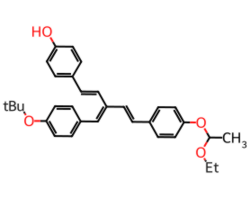 CCOC(C)Oc1ccc(C=CC(C=Cc2ccc(O)cc2)=Cc2ccc(OC(C)(C)C)cc2)cc1